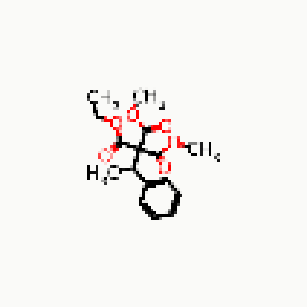 CCOC(=O)C(C(=O)OC)(C(=O)OC)[C@H](C)c1ccccc1